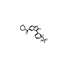 Cc1nc2ccc(C(=O)N3CCCCC3)cn2c1-c1cccc(NS(C)(=O)=O)c1